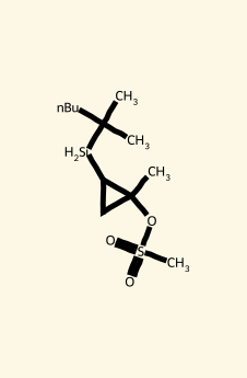 CCCCC(C)(C)[SiH2]C1CC1(C)OS(C)(=O)=O